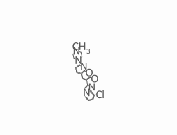 CN1CCN(c2ccc3cc(-c4cn5cccc(Cl)c5n4)c(=O)oc3n2)CC1